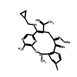 CN/N=C1/C/C(C(C)=N)=C(/NCC2CC2)c2cnc(N)c(n2)O[C@H](C)c2cc(F)ccc2C1=N